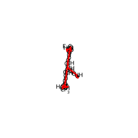 CC1(C)O[C@@H]2[C@@H](NC(=O)C(F)(F)F)[C@@H]3OC[C@](COCCOCCOCCOCCNC(=O)CCOCC(COCCC(=O)NCCOCCOCCOCCOC[C@@]4(C)O[C@H](O)[C@H](NC(=O)C(F)(F)F)[C@H]5OC(C)(C)O[C@H]54)NC(=O)COCCOCCOCCNc4ccccc4)(O3)[C@@H]2O1